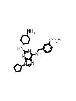 CCOC(=O)c1cccc(CNc2nc(N[C@H]3CC[C@H](N)CC3)nc3c2ncn3C2CCCC2)c1